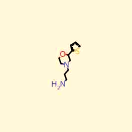 NCCCN1CCOC(c2cccs2)C1